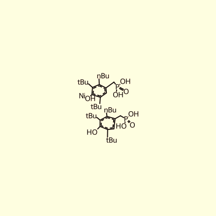 CCCCc1c(CP(=O)(O)O)cc(C(C)(C)C)c(O)c1C(C)(C)C.CCCCc1c(CP(=O)(O)O)cc(C(C)(C)C)c(O)c1C(C)(C)C.[Ni]